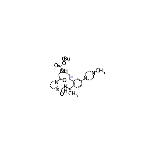 C[C@H](NC(=O)[C@@H]1CCCN1C(=O)CNC(=O)OC(C)(C)C)c1ccc(N2CCN(C)CC2)cc1/C=C/C1CC1